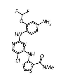 CNC(=O)c1sccc1Nc1nc(Nc2ccc(N)cc2OC(F)F)ncc1Cl